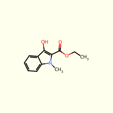 CCOC(=O)c1c(O)c2ccccc2n1C